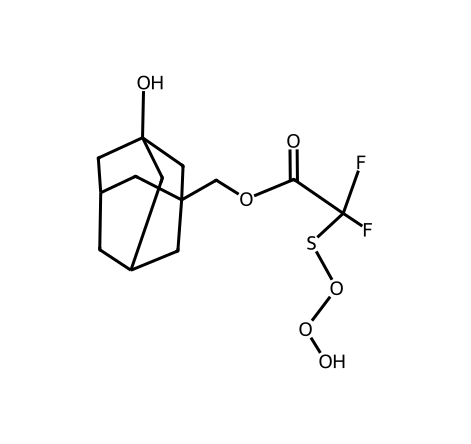 O=C(OCC12CC3CC(CC(O)(C3)C1)C2)C(F)(F)SOOO